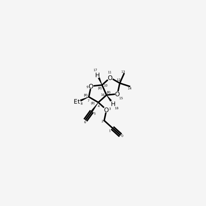 C#CCO[C@]1(C#C)[C@@H](CC)O[C@@H]2OC(C)(C)O[C@@H]21